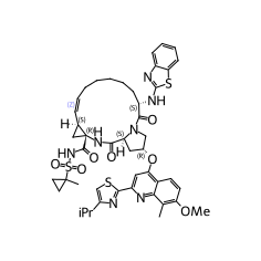 COc1ccc2c(O[C@@H]3C[C@H]4C(=O)N[C@]5(C(=O)NS(=O)(=O)C6(C)CC6)C[C@H]5/C=C\CCCCC[C@H](Nc5nc6ccccc6s5)C(=O)N4C3)cc(-c3nc(C(C)C)cs3)nc2c1C